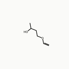 C=COCCC(C)O